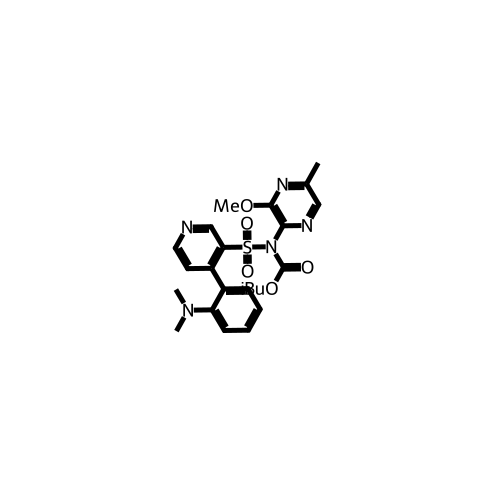 COc1nc(C)cnc1N(C(=O)OCC(C)C)S(=O)(=O)c1cnccc1-c1ccccc1N(C)C